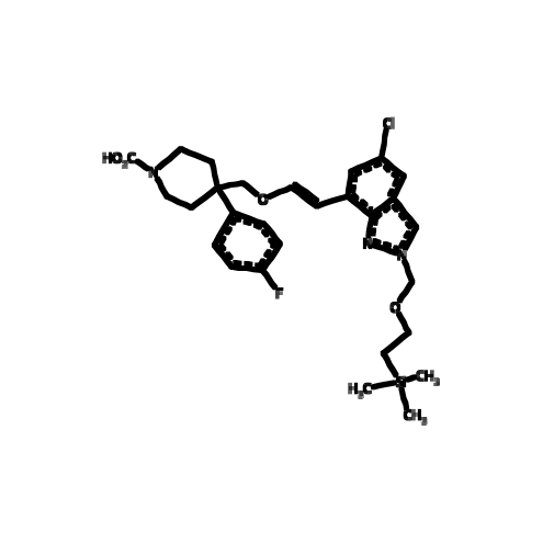 C[Si](C)(C)CCOCn1cc2cc(Cl)cc(C=COCC3(c4ccc(F)cc4)CCN(C(=O)O)CC3)c2n1